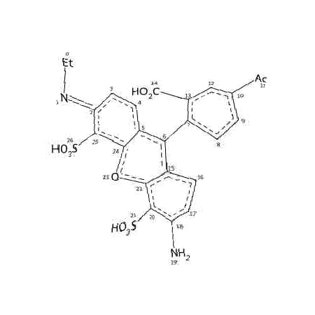 CC/N=c1\ccc2c(-c3ccc(C(C)=O)cc3C(=O)O)c3ccc(N)c(S(=O)(=O)O)c3oc-2c1S(=O)(=O)O